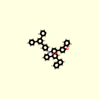 c1ccc(-c2cc(-c3ccccc3)cc(-c3ccc(N(c4ccc(-c5ccc6oc7ccccc7c6c5)cc4)c4ccccc4-c4cccc(-c5cccc6ccccc56)c4)cc3)c2)cc1